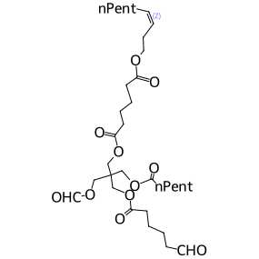 CCCCC/C=C\CCOC(=O)CCCCC(=O)OCC(COC=O)(COC(=O)CCCCC)COC(=O)CCCCC=O